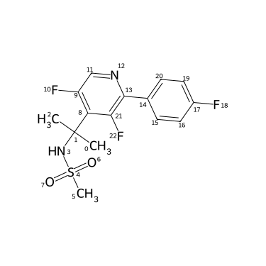 CC(C)(NS(C)(=O)=O)c1c(F)cnc(-c2ccc(F)cc2)c1F